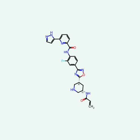 C=CC(=O)N[C@@H]1CNC[C@H](c2nc(-c3ccc(NC(=O)c4cccc(-c5ccn[nH]5)n4)c(F)c3)no2)C1